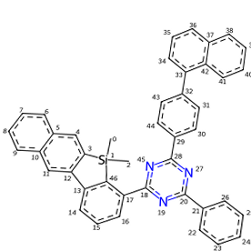 C[Si]1(C)c2cc3ccccc3cc2-c2cccc(-c3nc(-c4ccccc4)nc(-c4ccc(-c5cccc6ccccc56)cc4)n3)c21